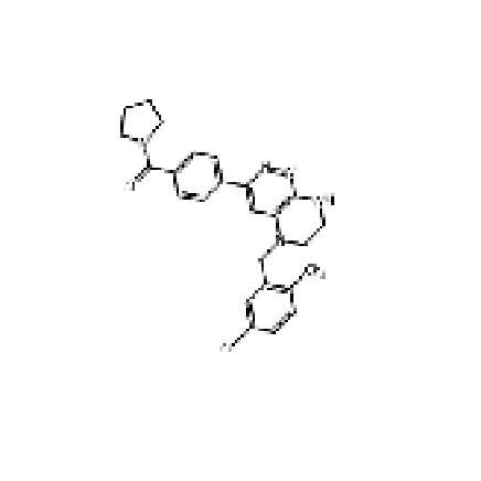 O=C(c1ccc(-c2cc3c(nn2)NCCN3Cc2cc(Cl)ccc2C(F)(F)F)cc1)N1CCCC1